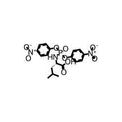 CC(C)C[C@H](NP(=O)(Oc1ccc([N+](=O)[O-])cc1)Oc1ccc([N+](=O)[O-])cc1)C(=O)O